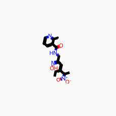 CCC(=CC(CNC(=O)c1cccnc1C)=NO)C(C)[N+](=O)[O-]